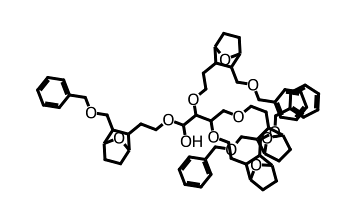 OC(OCCC1C2CCC(O2)C1COCc1ccccc1)C(OCCC1C2CCC(O2)C1COCc1ccccc1)C(COCCC1C2CCC(O2)C1COCc1ccccc1)OCCC1C2CCC(O2)C1COCc1ccccc1